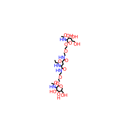 CCC(=O)NC(CCC(=O)NCCOCCOC1OC(CO)C(O)C(O)C1NC(C)=O)C(=O)NCCOCCOC1OCC(CO)C(O)C(O)C1NC(C)=O